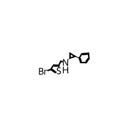 Brc1csc(CN[C@@H]2C[C@H]2c2ccccc2)c1